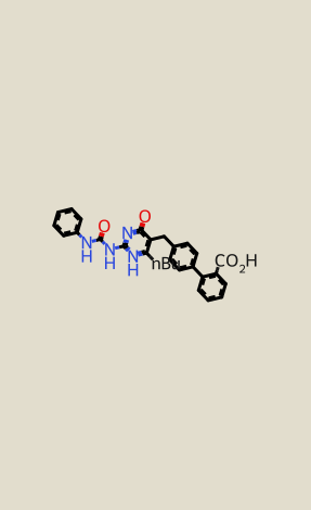 CCCCc1[nH]c(NC(=O)Nc2ccccc2)nc(=O)c1Cc1ccc(-c2ccccc2C(=O)O)cc1